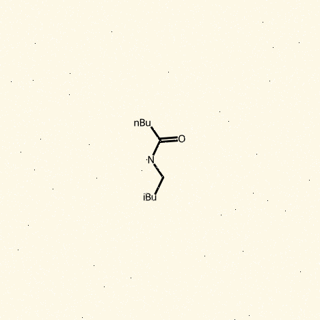 CCCCC(=O)[N]CC(C)CC